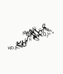 COC1(NC(=O)CCCC(N)C(=O)O)C(=O)N2C(C(=O)O)C(COC(N)=O)=CS[C@H]21